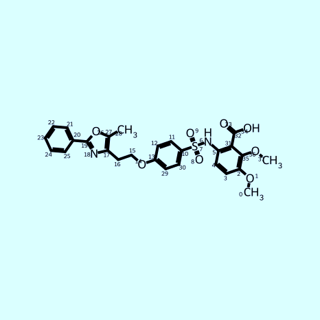 COc1ccc(NS(=O)(=O)c2ccc(OCCc3nc(-c4ccccc4)oc3C)cc2)c(C(=O)O)c1OC